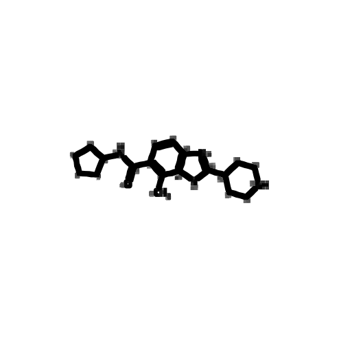 Cc1c(C(=O)NC2CCCC2)ccc2nc(C3CCNCC3)sc12